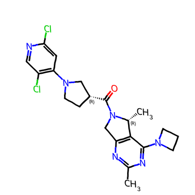 Cc1nc2c(c(N3CCC3)n1)[C@@H](C)N(C(=O)[C@@H]1CCN(c3cc(Cl)ncc3Cl)C1)C2